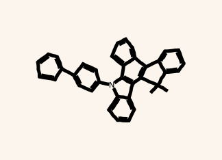 CC1(C)c2ccccc2-c2c1c1c3ccccc3n(-c3ccc(-c4ccccc4)cc3)c1c1ccccc21